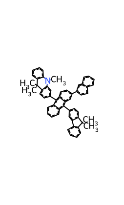 CN1c2ccccc2C(C)(C)c2ccc(-c3c4ccccc4c(-c4ccc5c(c4)-c4ccccc4C5(C)C)c4cc(-c5ccc6ccccc6c5)ccc34)cc21